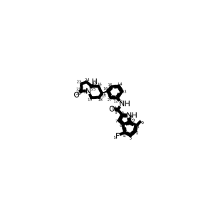 Cc1ccc(F)c2cc(C(=O)Nc3cccc([C@H]4CCN5C(=O)CC[C@@H]5C4)c3)[nH]c12